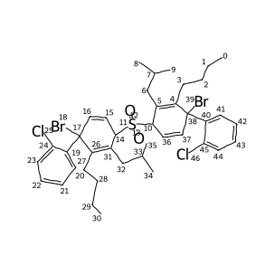 CCCCC1=C(CC(C)C)C(S(=O)(=O)C2C=CC(Br)(c3ccccc3Cl)C(CCCC)=C2CC(C)C)C=CC1(Br)c1ccccc1Cl